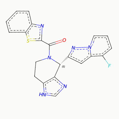 O=C(c1nc2ccccc2s1)N1CCc2[nH]cnc2[C@H]1c1cc2c(F)cccn2n1